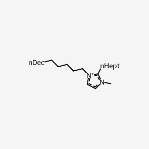 CCCCCCCCCCCCCCC[n+]1ccn(C)c1CCCCCCC